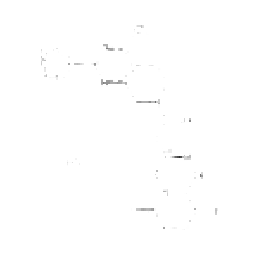 Cl.N[C@H](CC(=O)N1CCc2c(nc(-c3ccsc3)nc2C(F)(F)F)C1)CN1C(=O)CCC(F)C1O